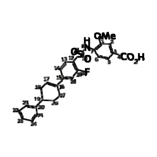 COc1cc(C(=O)O)ccc1NS(=O)(=O)c1ccc(C2=CCC(c3ccccc3)CC2)cc1F